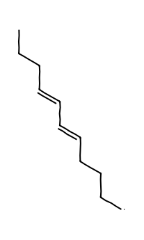 [CH2]CCCC=CC=CCCC